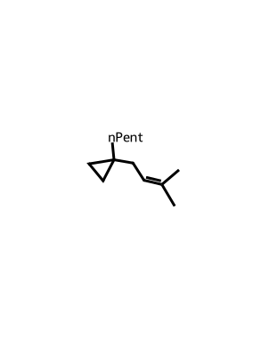 CCCCCC1(CC=C(C)C)CC1